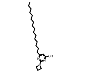 CCCCCCCCCCCCCCCCc1cc(O)nc(N2CCC2)n1